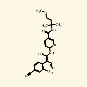 COCCC(C)(C)NC(=O)C1=CNC(N/C(O)=C(\C=N)c2ccc(C#N)cc2C)C=C1